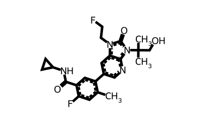 Cc1cc(F)c(C(=O)NC2CC2)cc1-c1cnc2c(c1)n(CCF)c(=O)n2C(C)(C)CO